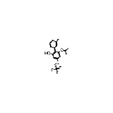 CC1=CC(c2c(O)cc(OSC(F)(F)F)cc2OC(C)C)CCC1